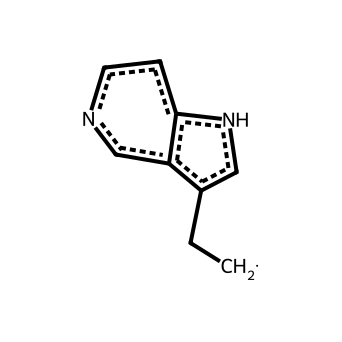 [CH2]Cc1c[nH]c2ccncc12